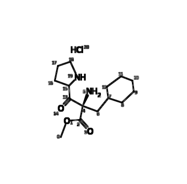 COC(=O)[C@@](N)(CC1CCCCC1)C(=O)C1CCCN1.Cl